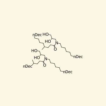 CCCCCCCCCCCCCCCCN(CC(O)CO)C(=O)CCC(C)CCCCCCCCCC.CCCCCCCCCCCCCCCCN(CC(O)CO)C(=O)CCC(C)CCCCCCCCCCCCCC